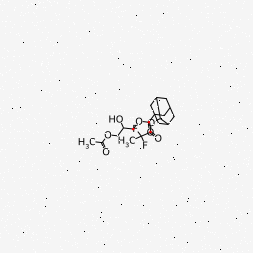 CC(=O)OCC(O)COC(=O)C12CC3CC(C1)C(OC(=O)C(C)(F)F)C(C3)C2